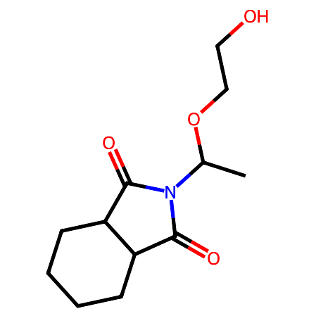 CC(OCCO)N1C(=O)C2CCCCC2C1=O